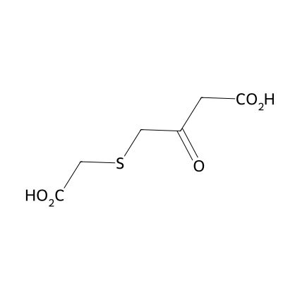 O=C(O)CSCC(=O)CC(=O)O